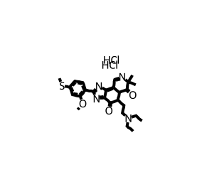 CCN(CC)CCC1C(=O)C2=NC(c3ccc(SC)cc3OC)=NC2=C2C=NC(C)(C)C(=O)C21.Cl.Cl